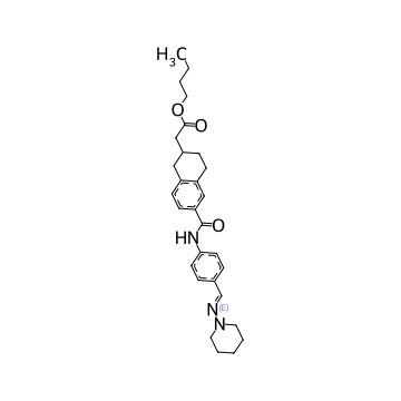 CCCCOC(=O)CC1CCc2cc(C(=O)Nc3ccc(/C=N/N4CCCCC4)cc3)ccc2C1